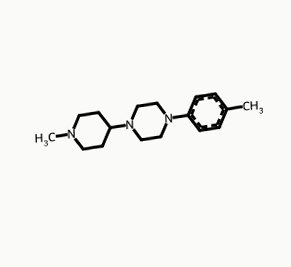 Cc1ccc(N2CCN(C3CCN(C)CC3)CC2)cc1